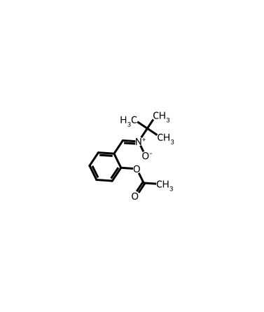 CC(=O)Oc1ccccc1C=[N+]([O-])C(C)(C)C